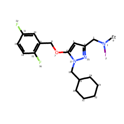 CCN(I)Cc1cc(OCc2cc(F)ccc2F)n(CC2CCCCC2)n1